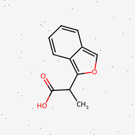 CC(C(=O)O)c1occ2ccccc12